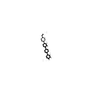 C/C=C/C1CCC(c2ccc(-c3ccc(-c4ccc(CCCCCCCCCC)c(F)c4F)cc3)c(F)c2F)CC1